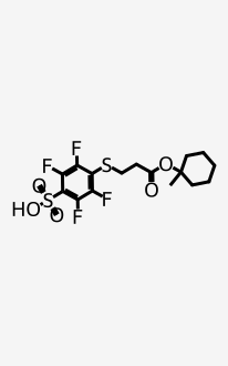 CC1(OC(=O)CCSc2c(F)c(F)c(S(=O)(=O)O)c(F)c2F)CCCCC1